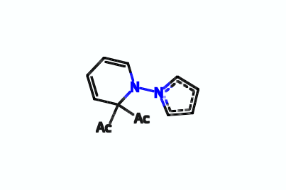 CC(=O)C1(C(C)=O)C=CC=CN1n1cccc1